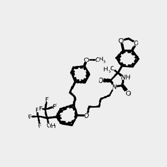 COc1ccc(CCc2cc(C(O)(C(F)(F)F)C(F)(F)F)ccc2OCCCCN2C(=O)NC(C)(c3ccc4c(c3)OCO4)C2=O)cc1